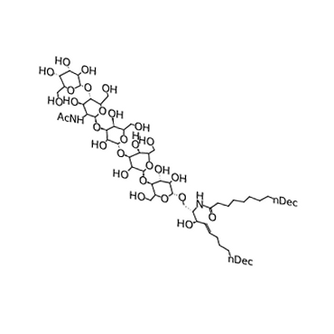 CCCCCCCCCCCCC/C=C/[C@@H](O)[C@H](CO[C@@H]1OC(CO)[C@@H](O[C@@H]2OC(CO)[C@H](O)[C@H](O[C@H]3OC(CO)[C@H](O)[C@H](O[C@@H]4OC(CO)[C@@H](O[C@@H]5OC(CO)[C@H](O)[C@H](O)C5O)[C@H](O)C4NC(C)=O)C3O)C2O)[C@H](O)C1O)NC(=O)CCCCCCCCCCCCCCCCC